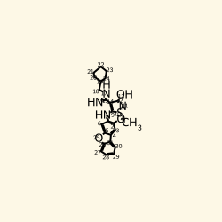 COc1cc2c(cc1Nc1snc(O)c1C(=N)NCC1CCCCC1)oc1ccccc12